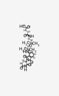 CC(C)(COC(C)(C)CCNC(=O)CCC(=O)O)Nc1cccc2c1C(=O)N(C1CCC(=O)NC1=O)C2=O